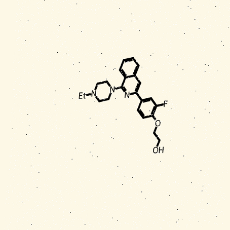 CCN1CCN(c2nc(-c3ccc(OCCO)c(F)c3)cc3ccccc23)CC1